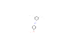 Cc1cc(C)cc(/N=N/c2ccc(C(=O)O)cc2)c1